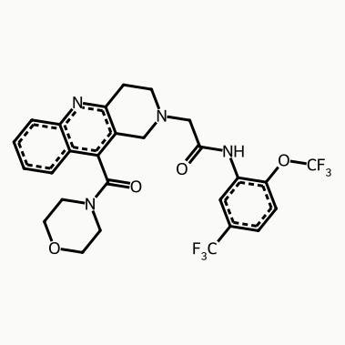 O=C(CN1CCc2nc3ccccc3c(C(=O)N3CCOCC3)c2C1)Nc1cc(C(F)(F)F)ccc1OC(F)(F)F